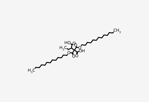 CCCCCCCCCCCCCOC(=O)C(C(=O)O)(C(=O)OCCCCCCCCCCCCC)C(CC)C(=O)O